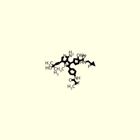 C=C(F)C(=O)Nc1ccc(-c2c(-c3ccc(C(=O)NCC4(F)CC4)c(OC)c3)c3c(N)ncc(C#CC(C)(C)O)c3n2C)cc1